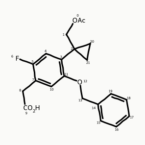 CC(=O)OCC1(c2cc(F)c(CC(=O)O)cc2OCc2ccccc2)CC1